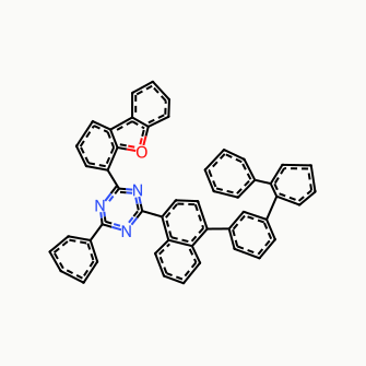 c1ccc(-c2nc(-c3ccc(-c4cccc(-c5ccccc5-c5ccccc5)c4)c4ccccc34)nc(-c3cccc4c3oc3ccccc34)n2)cc1